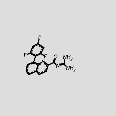 NC(N)=NC(=O)c1ccc2cccc(-c3c(F)cc(F)cc3F)c2n1